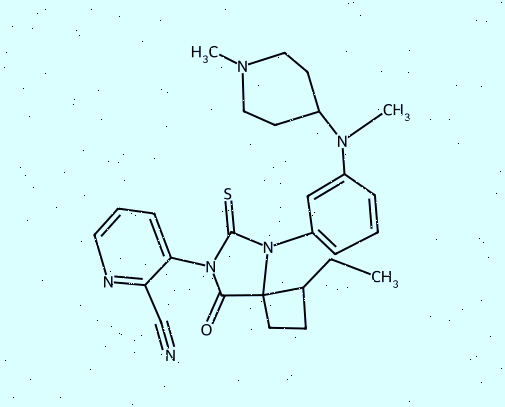 CCC1CCC12C(=O)N(c1cccnc1C#N)C(=S)N2c1cccc(N(C)C2CCN(C)CC2)c1